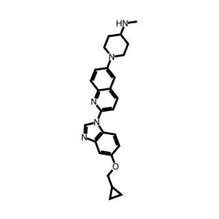 CNC1CCN(c2ccc3nc(-n4cnc5cc(OCC6CC6)ccc54)ccc3c2)CC1